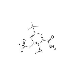 COc1c(CS(C)(=O)=O)cc(C(C)(C)C)cc1C(N)=O